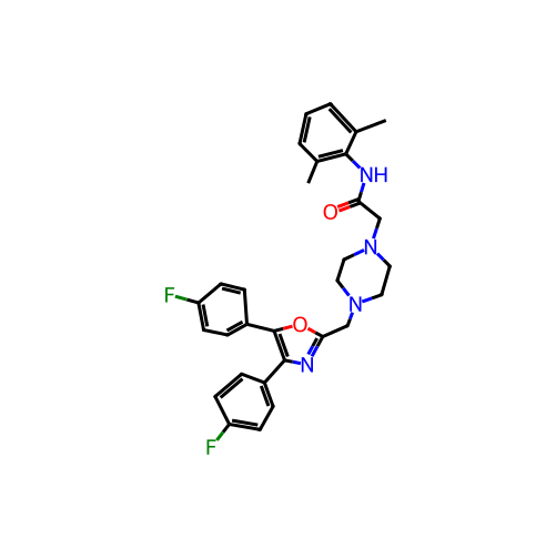 Cc1cccc(C)c1NC(=O)CN1CCN(Cc2nc(-c3ccc(F)cc3)c(-c3ccc(F)cc3)o2)CC1